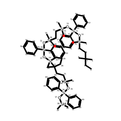 CCC(C)(C)CC[Si](C)(C)O[Si](O[Si](C)(C)CC[Si](C)(C)O[Si](O[Si]1(C)CC1(CC)CC[Si](C)(C)O[Si](O[SiH](C)C)(c1ccccc1)c1ccccc1)(c1ccccc1)c1ccccc1)(c1ccccc1)c1ccccc1